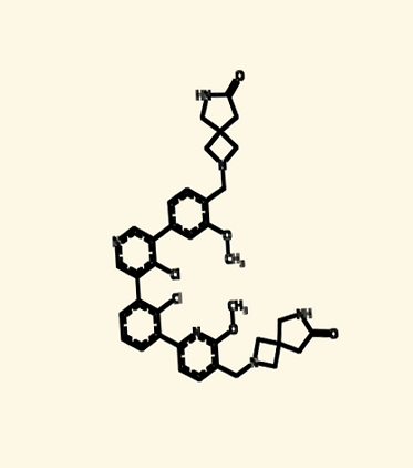 COc1cc(-c2cncc(-c3cccc(-c4ccc(CN5CC6(CNC(=O)C6)C5)c(OC)n4)c3Cl)c2Cl)ccc1CN1CC2(CNC(=O)C2)C1